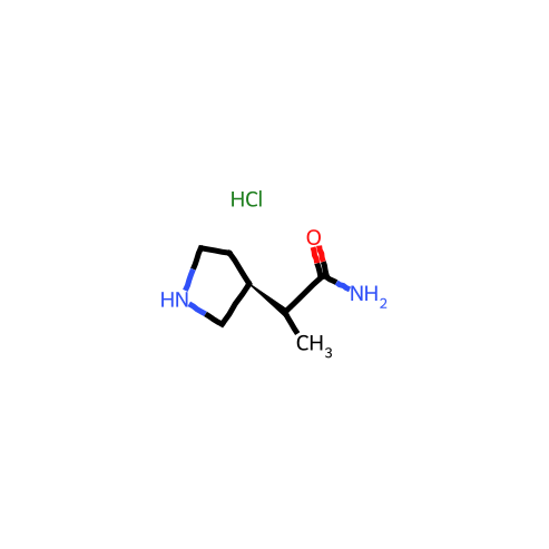 CC(C(N)=O)[C@@H]1CCNC1.Cl